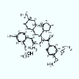 COc1ccc(C(=O)N(CC(C)=Cc2ccc(F)cc2F)[C@@H](CC2CCC(N)CC2)C2CCCN2)cc1OC.Cl.Cl